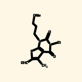 CCn1c(=O)c2c(C)c(C=O)sc2n(CCCOC)c1=O